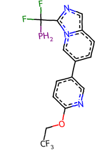 FC(F)(F)COc1ccc(-c2ccc3cnc(C(F)(F)P)n3c2)cn1